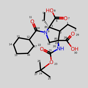 CCC1[C@](CC)(C(=O)O)N(C(=O)C2CCCCC2)C[C@@]1(NC(=O)OC(C)(C)C)C(=O)O